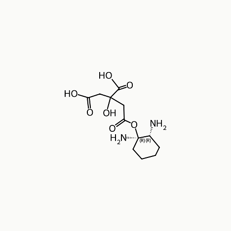 N[C@@H]1CCCC[C@@]1(N)OC(=O)CC(O)(CC(=O)O)C(=O)O